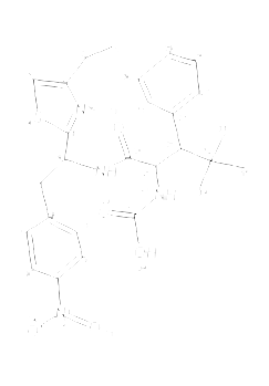 CCc1csc(C(Cc2ccc([N+](=O)[O-])cc2)NC(=O)C(NC(=O)O)C(c2ccccc2)C(C)(C)C)n1